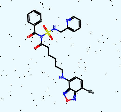 O=C(CCCCCNc1ccc([N+](=O)[O-])c2nonc12)N(C(=O)c1ccccc1)S(=O)(=O)NCc1ccccn1